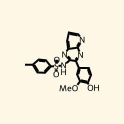 COc1cc(-c2nc3ncccc3nc2NS(=O)(=O)c2ccc(C)cc2)ccc1O